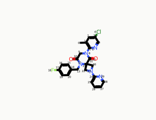 Cc1cc(Cl)cnc1N1CC(=O)N(Cc2ccc(F)cc2)C2(CN(c3ccccn3)C2)C1=O